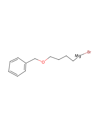 [Br][Mg][CH2]CCCOCc1ccccc1